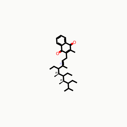 CCC(/C(C)=C/CC1=C(C)C(=O)c2ccccc2C1=O)[C@H](C)C(CC)[C@H](C)C(CC)C(C)C